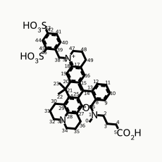 CN(CCCC(=O)O)C(=O)c1ccccc1C1=c2cc3c(cc2C(C)(C)c2c1cc1c4c2CCCN4CCC1)=[N+](Cc1ccc(S(=O)(=O)O)cc1S(=O)(=O)O)CCC3